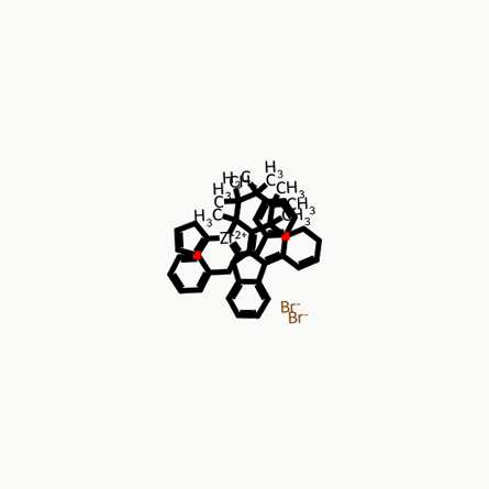 CC12C(=C3Cc4ccccc4C3=C3C=CCCC31)[C](C)([Zr+2]([C]1=CC=CC1)=[C](Cc1ccccc1)Cc1ccccc1)C(C)(C)C(C)(C)C2(C)C.[Br-].[Br-]